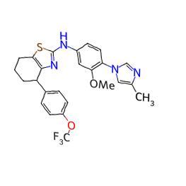 COc1cc(Nc2nc3c(s2)CCCC3c2ccc(OC(F)(F)F)cc2)ccc1-n1cnc(C)c1